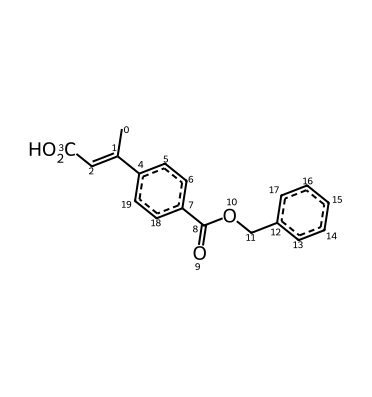 CC(=CC(=O)O)c1ccc(C(=O)OCc2ccccc2)cc1